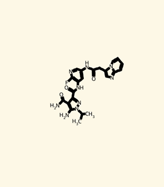 CC(C)n1nc(C(=O)Nc2cc(NC(=O)Cc3cnc4ccccn34)cnc2F)c(C(N)=O)c1N